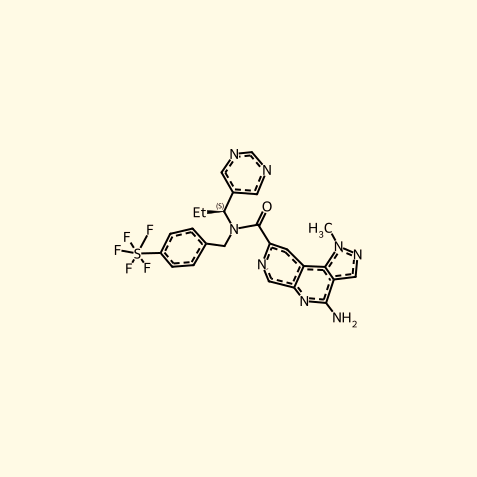 CC[C@@H](c1cncnc1)N(Cc1ccc(S(F)(F)(F)(F)F)cc1)C(=O)c1cc2c(cn1)nc(N)c1cnn(C)c12